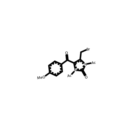 COc1ccc(C(=O)c2c(CBr)n(C(C)=O)c(=O)n2C(C)=O)cc1